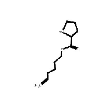 C=CCCCCOC(=O)C1CCCN1